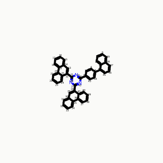 c1ccc2c(-c3ccc(-c4nc(-c5cc6ccccc6c6ccccc56)nc(-c5cc6ccccc6c6ccccc56)n4)cc3)cccc2c1